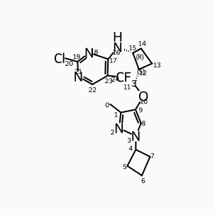 Cc1nn(C2CCC2)cc1OC[C@H]1CC[C@H]1Nc1nc(Cl)ncc1C(F)(F)F